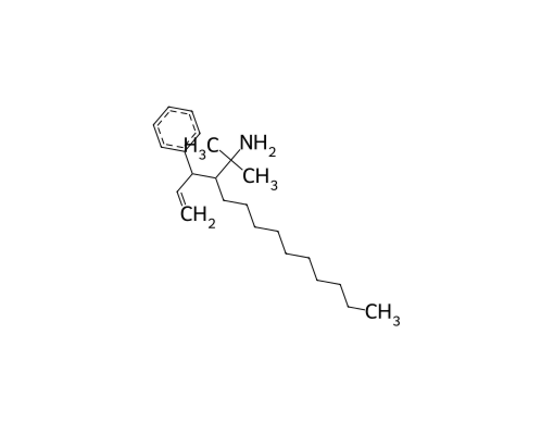 C=CC(c1ccccc1)C(CCCCCCCCCC)C(C)(C)N